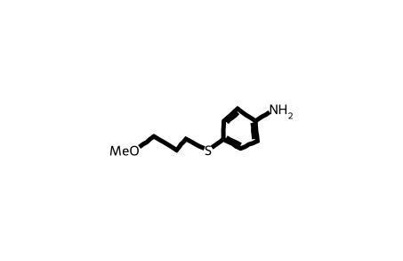 COCCCSc1ccc(N)cc1